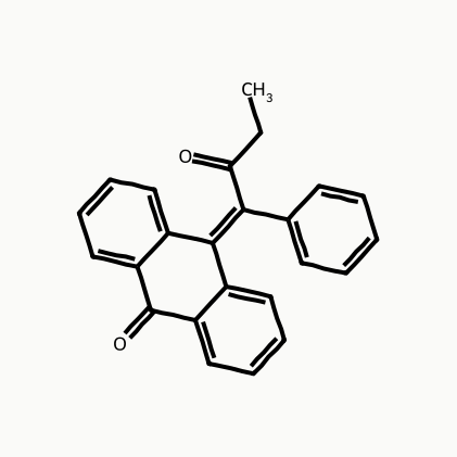 CCC(=O)C(=C1c2ccccc2C(=O)c2ccccc21)c1ccccc1